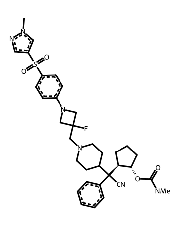 CNC(=O)O[C@H]1CCC[C@@H]1C(C#N)(c1ccccc1)C1CCN(CC2(F)CN(c3ccc(S(=O)(=O)c4cnn(C)c4)cc3)C2)CC1